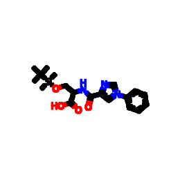 CC(C)(C)[Si](C)(C)OCC(NC(=O)c1cn(-c2ccccc2)cn1)C(=O)O